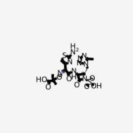 Cc1nnnn1C[C@H]1C(NC(=O)/C(=N\OC(C)(C)C(=O)O)c2csc(N)n2)C(=O)N1S(=O)(=O)O